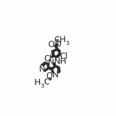 CCOc1nccc2c(Nc3c(Cl)cc(C(=O)OC)cc3Cl)nc3ccncc3c12